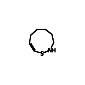 C1=CSNCCCCC1